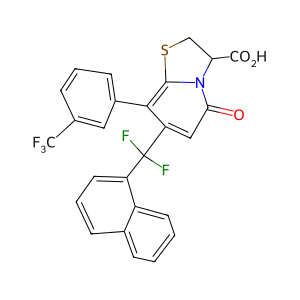 O=C(O)C1CSc2c(-c3cccc(C(F)(F)F)c3)c(C(F)(F)c3cccc4ccccc34)cc(=O)n21